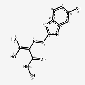 C/C(O)=C(\N=Nc1nc2cc(S)ccc2s1)C(=O)NS